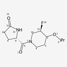 CC(C)OC1CCN(C(=O)[C@@H]2CCC(=O)N2)C[C@H]1F